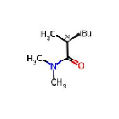 CCC(C)[C@H](C)C(=O)N(C)C